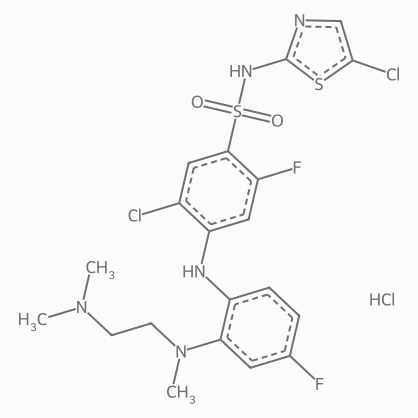 CN(C)CCN(C)c1cc(F)ccc1Nc1cc(F)c(S(=O)(=O)Nc2ncc(Cl)s2)cc1Cl.Cl